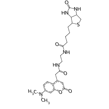 CN(C)c1ccc2c(CC(=O)NCCNC(=O)CCCCC3SCC4NC(=O)NC43)cc(=O)oc2c1